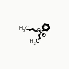 C=CCP(=O)(OCCCC)c1ccccc1